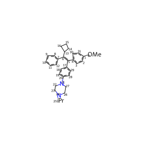 COc1ccc(/C(=C(/c2ccccc2)C2CCC2)c2ccc(N3CCN(C(C)C)CC3)cc2)cc1